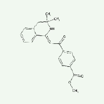 COC(=O)c1ccc(C(=O)/C=C2\NC(C)(C)Cc3ccccc32)cc1